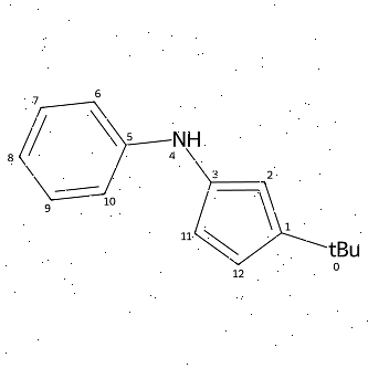 CC(C)(C)C1=C=C(Nc2ccccc2)C=C1